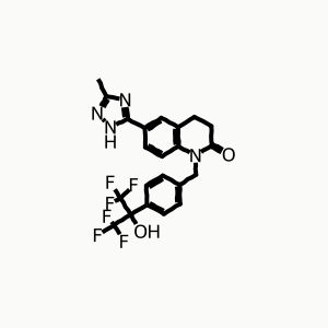 Cc1n[nH]c(-c2ccc3c(c2)CCC(=O)N3Cc2ccc(C(O)(C(F)(F)F)C(F)(F)F)cc2)n1